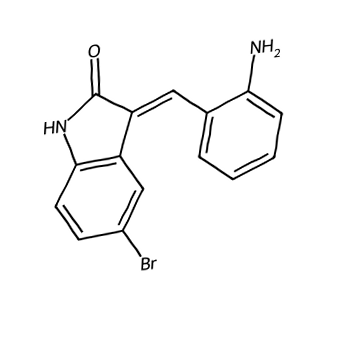 Nc1ccccc1C=C1C(=O)Nc2ccc(Br)cc21